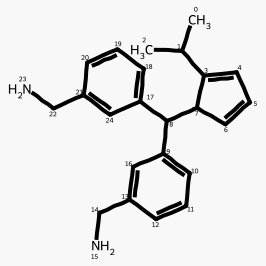 CC(C)C1=CC=C[C]1C(c1cccc(CN)c1)c1cccc(CN)c1